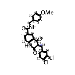 COc1ccc(CNC(=O)c2ccc3c(c2)C(=O)/C(=C/c2ccc(Cl)c(Cl)c2)C(=O)N3)cc1